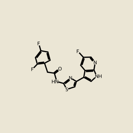 O=C(Cc1ccc(F)cc1F)Nc1nc(-c2c[nH]c3ncc(F)cc23)cs1